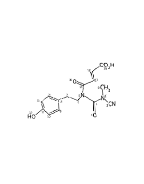 CN(C#N)C(=O)N(CCc1ccc(O)cc1)C(=O)C=CC(=O)O